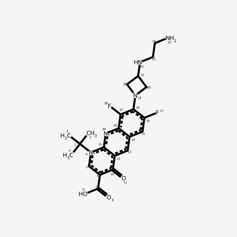 CC(C)(C)n1cc(C(=O)O)c(=O)c2cc3cc(F)c(N4CC(NCCN)C4)c(F)c3nc21